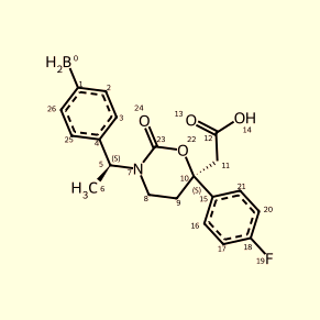 Bc1ccc([C@H](C)N2CC[C@](CC(=O)O)(c3ccc(F)cc3)OC2=O)cc1